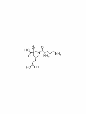 NCCC[C@H](N)C(=O)N1C[C@@H](CCB(O)O)C[C@](N)(C(=O)O)C1